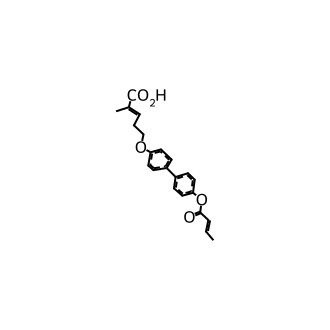 CC=CC(=O)Oc1ccc(-c2ccc(OCCC=C(C)C(=O)O)cc2)cc1